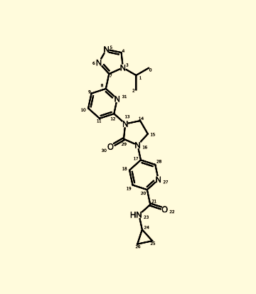 CC(C)n1cnnc1-c1cccc(N2CCN(c3ccc(C(=O)NC4CC4)nc3)C2=O)n1